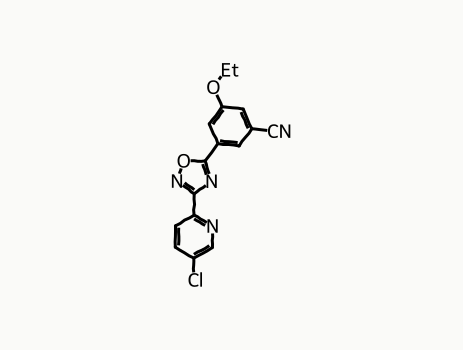 CCOc1cc(C#N)cc(-c2nc(-c3ccc(Cl)cn3)no2)c1